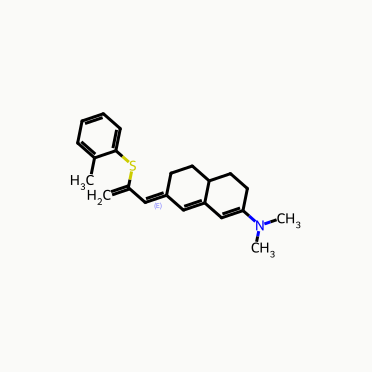 C=C(/C=C1/C=C2C=C(N(C)C)CCC2CC1)Sc1ccccc1C